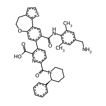 Cc1cc(CN)cc(C)c1NC(=O)c1cc2c(cc1-c1ccc(C(=O)N3CCCC[C@H]3c3ccccc3)nc1C(=O)O)OCCc1ccsc1-2